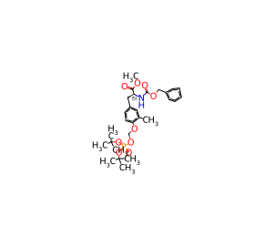 COC(=O)[C@H](Cc1ccc(OCOP(=O)(OC(C)(C)C)OC(C)(C)C)c(C)c1)NC(=O)OCc1ccccc1